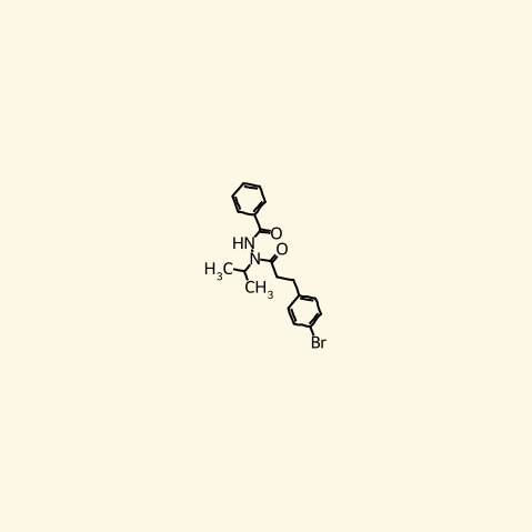 CC(C)N(NC(=O)c1ccccc1)C(=O)CCc1ccc(Br)cc1